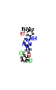 CNC(=O)c1cccc(Nc2ncnc(N3CC(Oc4c(Cl)cccc4Cl)C3)n2)c1